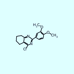 COc1ccc(-c2nc(Cl)c3c(n2)CCCC3)cc1OC